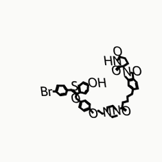 O=C1CCC(N2Cc3cc(CCCCC(=O)N4CCN(CCOc5ccc(Oc6c(-c7ccc(Br)cc7)sc7cc(O)ccc67)cc5)CC4)ccc3C2=O)C(=O)N1